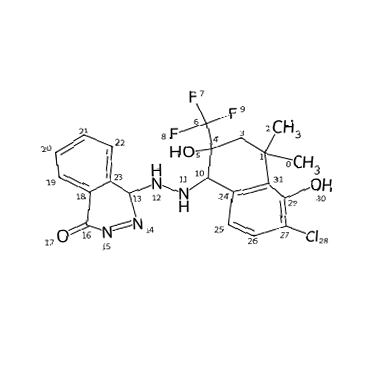 CC1(C)CC(O)(C(F)(F)F)C(NNC2N=NC(=O)c3ccccc32)c2ccc(Cl)c(O)c21